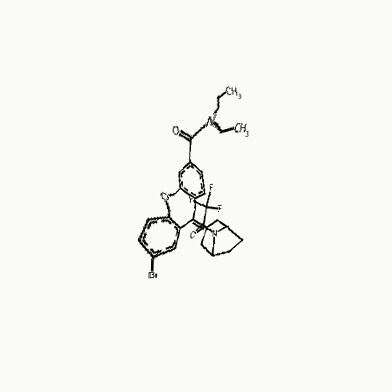 CCN(CC)C(=O)c1ccc2c(c1)Oc1ccc(Br)cc1C2=C1CC2CCC(C1)N2C(=O)C(F)(F)F